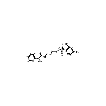 N[C@H](C(=O)NCCCCNS(=O)(=O)c1ccc(F)cc1Cl)c1ccccc1